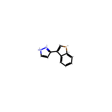 c1ccc2c(-c3cc[nH]n3)csc2c1